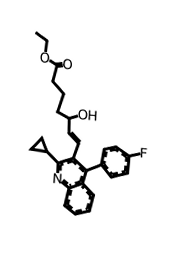 CCOC(=O)CCCC(O)C=Cc1c(C2CC2)nc2ccccc2c1-c1ccc(F)cc1